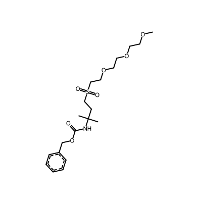 COCCOCCOCCS(=O)(=O)CCC(C)(C)NC(=O)OCc1ccccc1